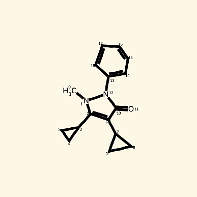 Cn1c(C2CC2)c(C2CC2)c(=O)n1-c1ccccc1